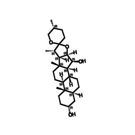 C[C@@H]1CCC2(OC1)O[C@H]1[C@@H](O)[C@H]3[C@@H]4CC[C@H]5C[C@H](O)CC[C@]5(C)[C@H]4CC[C@]3(C)[C@H]1[C@@H]2C